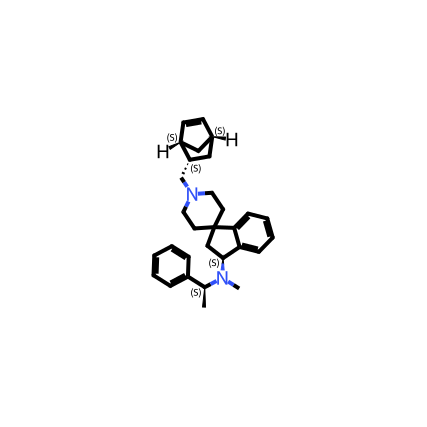 C[C@@H](c1ccccc1)N(C)[C@H]1CC2(CCN(C[C@H]3C[C@H]4C=C[C@@H]3C4)CC2)c2ccccc21